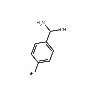 CC(C)c1ccc(C(N)C#N)cc1